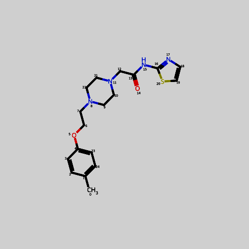 Cc1ccc(OCCN2CCN(CC(=O)Nc3nccs3)CC2)cc1